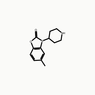 Cc1ccc2oc(=O)n(C3CCNCC3)c2c1